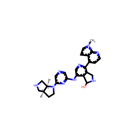 Cn1ccc2c(-c3ncc(Nc4cncc(N5CC[C@H]6CNC[C@H]65)n4)c4c3CNC4O)ccnc21